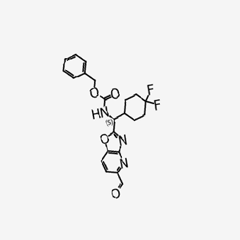 O=Cc1ccc2oc([C@@H](NC(=O)OCc3ccccc3)C3CCC(F)(F)CC3)nc2n1